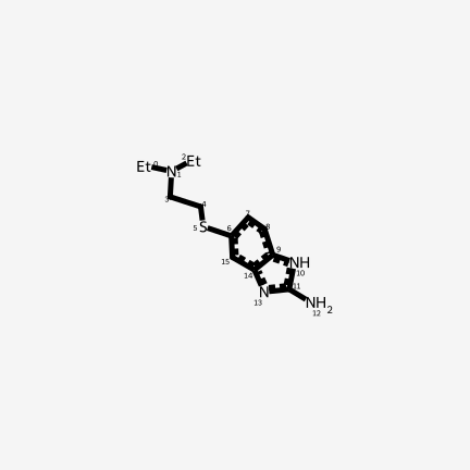 CCN(CC)CCSc1ccc2[nH]c(N)nc2c1